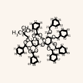 C[Si](C)(C)CCO[C@H]1O[C@H](COC(=O)c2ccccc2)[C@H](O[C@@H]2O[C@H](COCc3ccccc3)[C@H](OCc3ccccc3)[C@H](OCc3ccccc3)[C@H]2OCc2ccccc2)[C@H](OC(=O)c2ccccc2)[C@H]1OC(=O)c1ccccc1